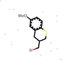 COc1ccc2c(c1)CC(CBr)CS2